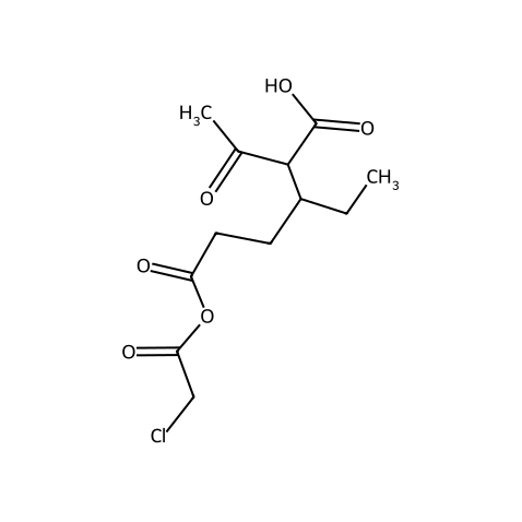 CCC(CCC(=O)OC(=O)CCl)C(C(C)=O)C(=O)O